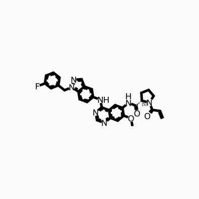 C=CC(=O)N1CCC[C@H]1C(=O)Nc1cc2c(Nc3ccc4c(cnn4Cc4cccc(F)c4)c3)ncnc2cc1OC